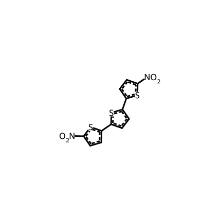 O=[N+]([O-])c1ccc(-c2ccc(-c3ccc([N+](=O)[O-])s3)s2)s1